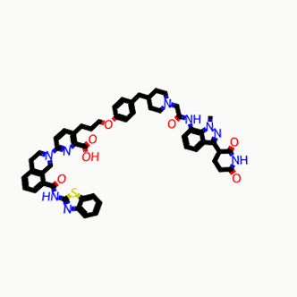 Cn1nc(C2CCC(=O)NC2=O)c2cccc(NC(=O)CN3CCC(Cc4ccc(OCCCc5ccc(N6CCc7cccc(C(=O)Nc8nc9ccccc9s8)c7C6)nc5C(=O)O)cc4)CC3)c21